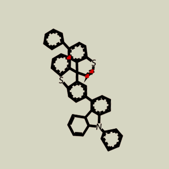 C1=CC2c3c(-c4ccc5c(c4)C4(c6ccccc6Sc6ccc(-c7ccccc7)cc64)c4ccccc4S5)cccc3N(c3ccccc3)C2C=C1